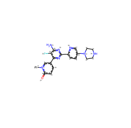 CC(C)n1cc(-c2nc(-c3ccc(N4CCNCC4)cn3)nc(N)c2F)ccc1=O